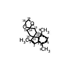 CC1=Cc2c(C)ccc(C)c2C12CCC1(CC2)OCCO1